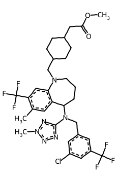 COC(=O)CC1CCC(CN2CCCC(N(Cc3cc(Cl)cc(C(F)(F)F)c3)c3nnn(C)n3)c3cc(C)c(C(F)(F)F)cc32)CC1